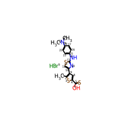 Br.Cc1sc(C(O)=S)cc1-c1csc(Nc2ccc(N(C)C)cc2)n1